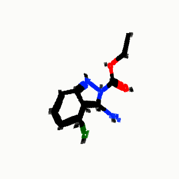 CCOC(=O)n1nc2cccc(Cl)c2c1N